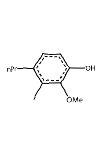 CCCc1ccc(O)c(OC)c1C